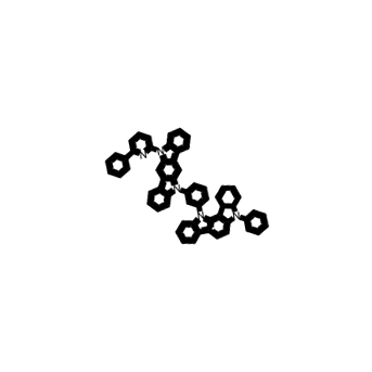 C1=CC2c3c(ccc4c5ccccc5n(-c5cccc(-n6c7ccccc7c7cc8c(cc76)c6ccccc6n8-c6cccc(-c7ccccc7)n6)c5)c34)N(c3ccccc3)C2C=C1